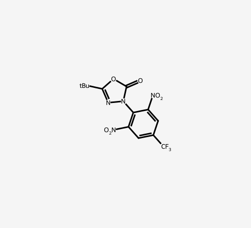 CC(C)(C)c1nn(-c2c([N+](=O)[O-])cc(C(F)(F)F)cc2[N+](=O)[O-])c(=O)o1